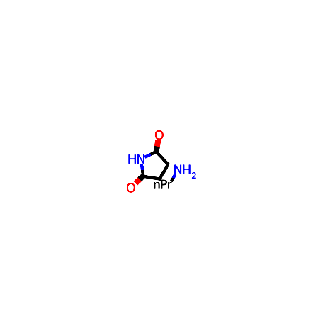 CCCN.O=C1CCC(=O)N1